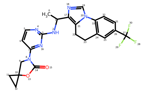 CC(Nc1nccc(N2CC3(CC3)OC2=O)n1)c1ncn2c1CCc1cc(C(F)(F)F)ccc1-2